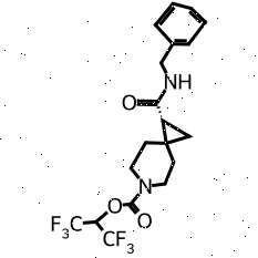 O=C(NCc1ccccc1)[C@@H]1CC12CCN(C(=O)OC(C(F)(F)F)C(F)(F)F)CC2